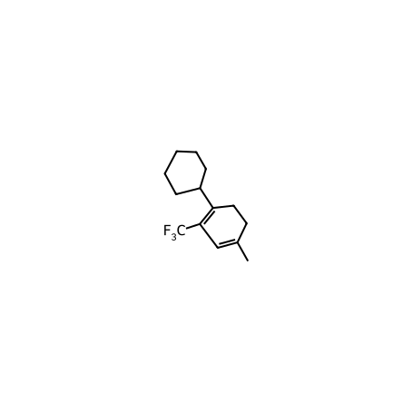 CC1=CC(C(F)(F)F)=C(C2CCCCC2)CC1